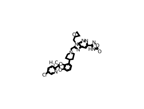 CC1(c2ccc(Cl)cn2)Oc2cccc(C3CCN(Cc4nc5cc(-c6noc(=O)[nH]6)nnc5n4CC4CCO4)CC3)c2O1